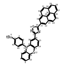 CC(C)(C)c1ccc(N2c3ccccc3Sc3ccc(-c4nsc(-c5cc6ccc7cccc8ccc(c5)c6c78)n4)cc32)cc1